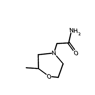 CC1CN(CC(N)=O)CCO1